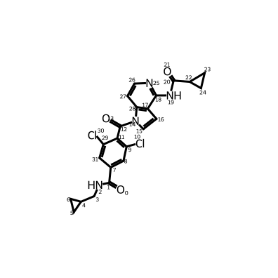 O=C(NCC1CC1)c1cc(Cl)c(C(=O)n2ccc3c(NC(=O)C4CC4)nccc32)c(Cl)c1